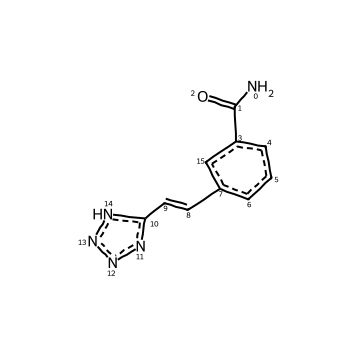 NC(=O)c1cccc(C=Cc2nnn[nH]2)c1